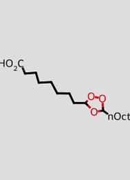 CCCCCCCCC1OOC(CCCCCCCC(=O)O)O1